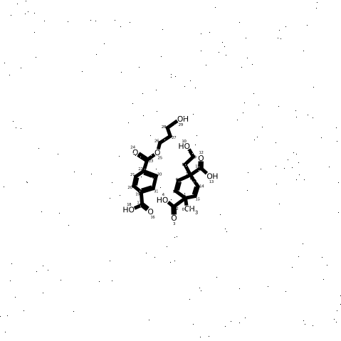 CC1(C(=O)O)C=CC(CCO)(C(=O)O)C=C1.O=C(O)c1ccc(C(=O)OCCCO)cc1